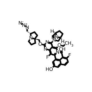 C#Cc1c(F)ccc2cc(O)cc(-c3nc(OCC)c4c(N5C[C@H]6CC[C@@H](C5)N6)nc(OC[C@@]56CCCN5[C@H](CN=[N+]=[N-])CC6)nc4c3F)c12